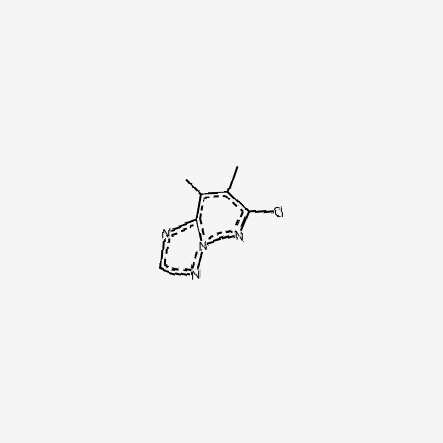 Cc1c(Cl)nn2ncnc2c1C